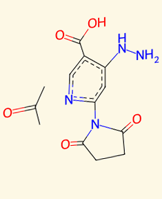 CC(C)=O.NNc1cc(N2C(=O)CCC2=O)ncc1C(=O)O